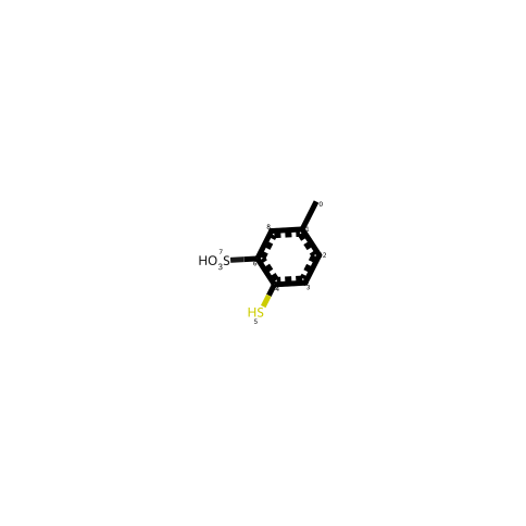 Cc1ccc(S)c(S(=O)(=O)O)c1